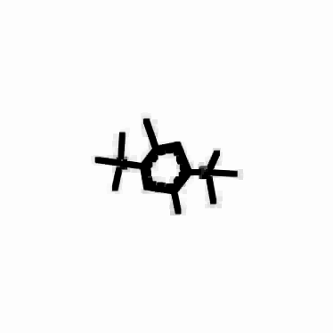 Cc1cc([Si](C)(C)C)c(C)cc1[Si](C)(C)C